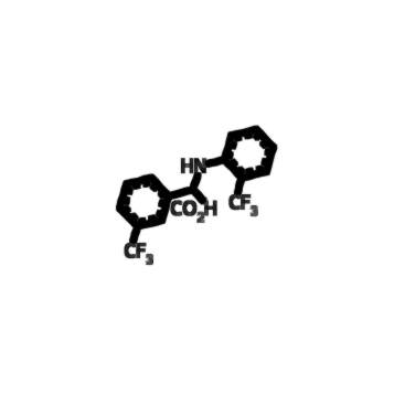 O=C(O)C(Nc1ccccc1C(F)(F)F)c1cccc(C(F)(F)F)c1